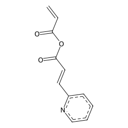 C=CC(=O)OC(=O)C=Cc1ccccn1